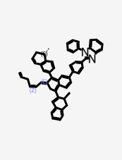 C=CC/C=C\C=C1/CC(C2=Cc3ccccc3CC2C)=c2ccc(-c3ccc(-c4nc5ccccc5n4-c4ccccc4)cc3)cc2=C1c1ccc2c(c1)C=CC[C@@H]2C